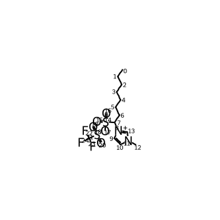 CCCCCCCC([n+]1ccn(C)c1)S(=O)(=O)OS(=O)(=O)C(F)(F)F